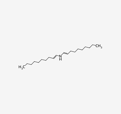 CCCCCCCC/C=C/N/C=C/CCCCCCCC